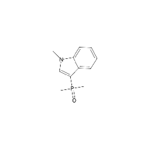 Cn1cc(P(C)(C)=O)c2ccccc21